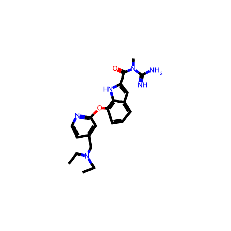 CCN(CC)Cc1ccnc(Oc2cccc3cc(C(=O)N(C)C(=N)N)[nH]c23)c1